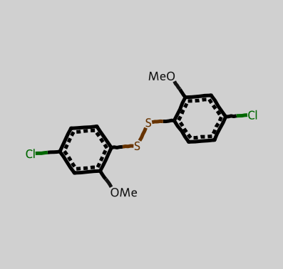 COc1cc(Cl)ccc1SSc1ccc(Cl)cc1OC